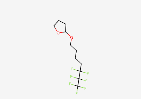 FC(F)(F)C(F)(F)C(F)(F)CCCCOC1CCCO1